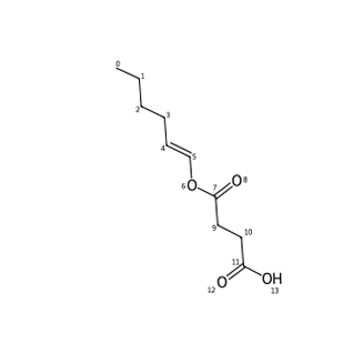 CCCCC=COC(=O)CCC(=O)O